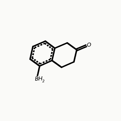 Bc1cccc2c1CCC(=O)C2